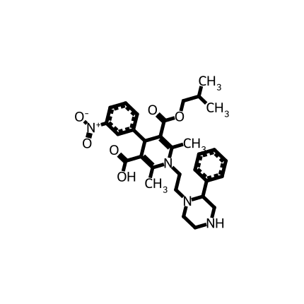 CC1=C(C(=O)O)C(c2cccc([N+](=O)[O-])c2)C(C(=O)OCC(C)C)=C(C)N1CCN1CCNCC1c1ccccc1